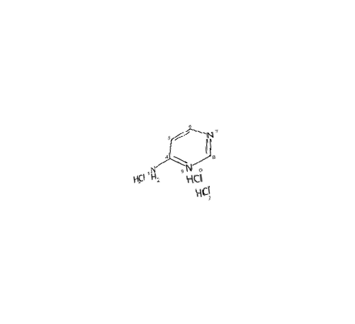 Cl.Cl.Cl.Nc1ccncn1